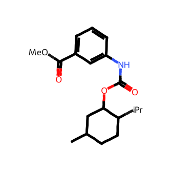 COC(=O)c1cccc(NC(=O)OC2CC(C)CCC2C(C)C)c1